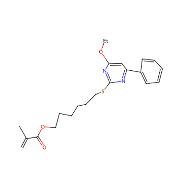 C=C(C)C(=O)OCCCCCCSc1nc(OCC)cc(-c2ccccc2)n1